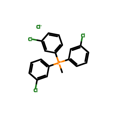 C[P+](c1cccc(Cl)c1)(c1cccc(Cl)c1)c1cccc(Cl)c1.[Cl-]